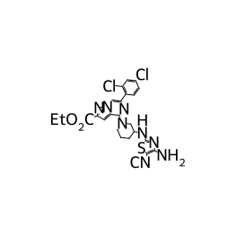 CCOC(=O)c1cc2c(N3CCCC(Nc4nc(N)c(C#N)s4)C3)nc(-c3ccc(Cl)cc3Cl)cn2n1